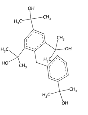 CC(C)(O)c1cccc(Cc2c(C(C)(C)O)cc(C(C)(C)O)cc2C(C)(C)O)c1